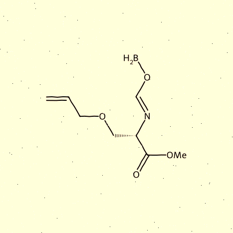 BOC=N[C@@H](COCC=C)C(=O)OC